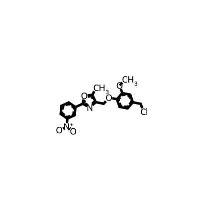 COc1cc(CCl)ccc1OCc1nc(-c2cccc([N+](=O)[O-])c2)oc1C